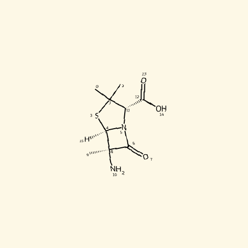 CC1(C)S[C@H]2N(C(=O)[C@@]2(C)N)[C@H]1C(=O)O